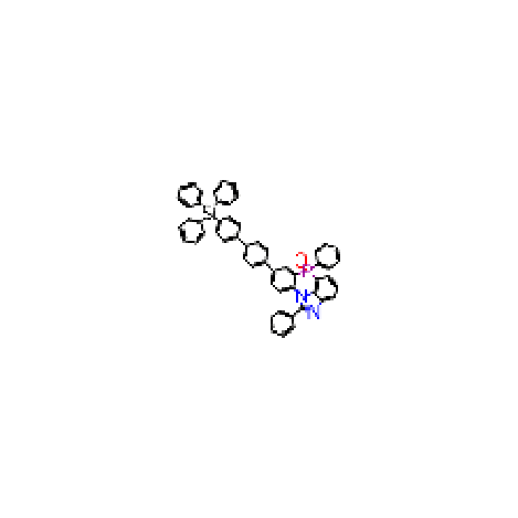 O=P1(c2ccccc2)c2cc(-c3ccc(-c4ccc([Si](c5ccccc5)(c5ccccc5)c5ccccc5)cc4)cc3)ccc2-n2c(-c3ccccc3)nc3cccc1c32